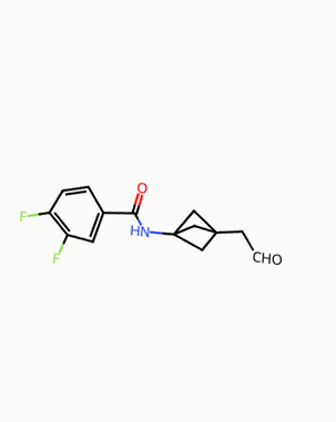 O=CCC12CC(NC(=O)c3ccc(F)c(F)c3)(C1)C2